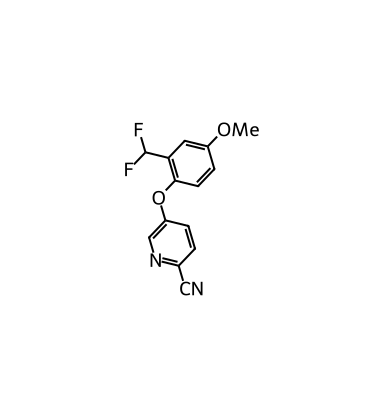 COc1ccc(Oc2ccc(C#N)nc2)c(C(F)F)c1